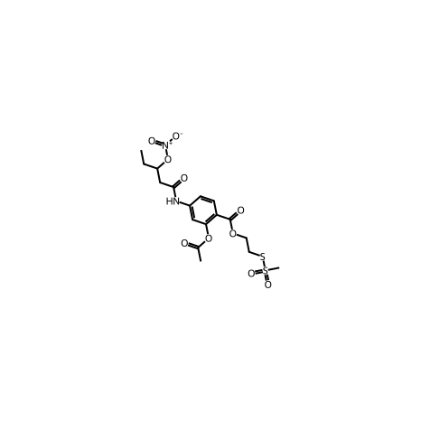 CCC(CC(=O)Nc1ccc(C(=O)OCCSS(C)(=O)=O)c(OC(C)=O)c1)O[N+](=O)[O-]